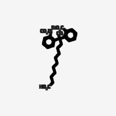 CCOC(=O)c1ccccc1C(CCCCCCCCCC(=O)O)(C(=O)O)c1ccccc1C(=O)OCC